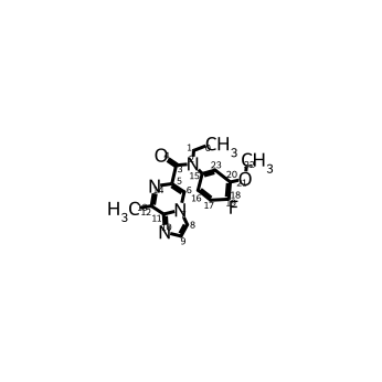 CCN(C(=O)c1cn2ccnc2c(C)n1)c1ccc(F)c(OC)c1